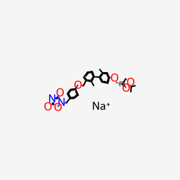 Cc1cc(OC[C@@H]2COC(C)(C)O2)ccc1-c1cccc(COc2ccc(Cn3oc(=O)[n-]c3=O)cc2)c1C.[Na+]